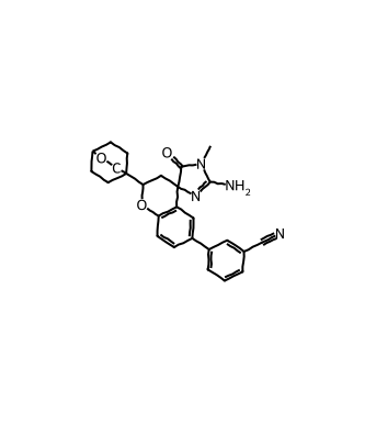 CN1C(=O)C2(CC(C34CCC(CC3)OC4)Oc3ccc(-c4cccc(C#N)c4)cc32)N=C1N